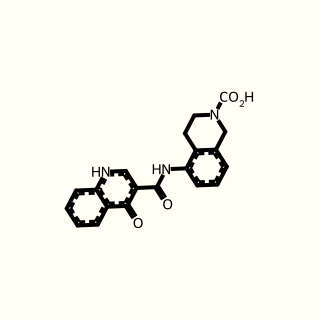 O=C(Nc1cccc2c1CCN(C(=O)O)C2)c1c[nH]c2ccccc2c1=O